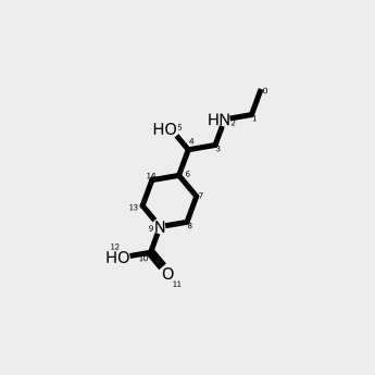 CCNCC(O)C1CCN(C(=O)O)CC1